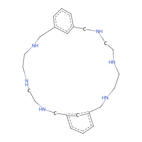 c1cc2cc(c1)CNCCNCCNCc1cccc(c1)CNCCNCCNC2